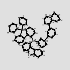 c1ccc(C2(c3ccccc3)c3ccccc3-c3c(N(c4cccc(-c5cccc(-c6cccc7ccccc67)c5)c4)c4cccc5oc6ccccc6c45)cccc32)cc1